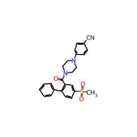 CS(=O)(=O)c1ccc(-c2ccccc2)c(C(=O)N2CCN(c3ccc(C#N)cc3)CC2)c1